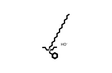 CCCCCCCCCCCCCCCC[N+](CCC)(CCC)Cc1ccccc1.[OH-]